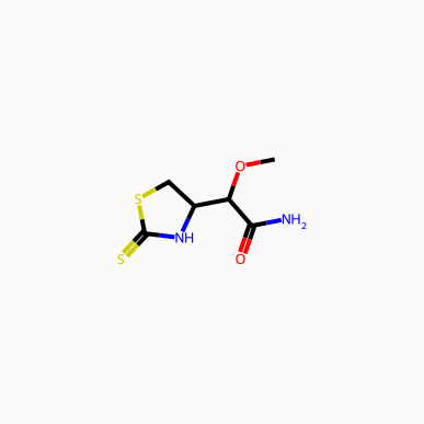 COC(C(N)=O)C1CSC(=S)N1